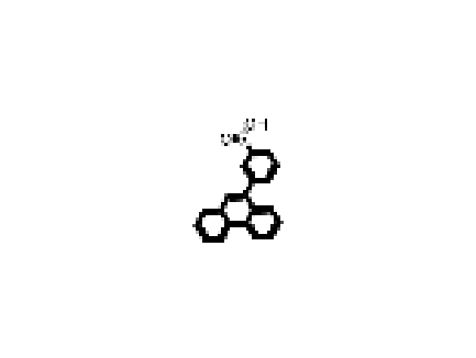 O=S(O)c1cccc(-c2cc3ccccc3c3ccccc23)c1